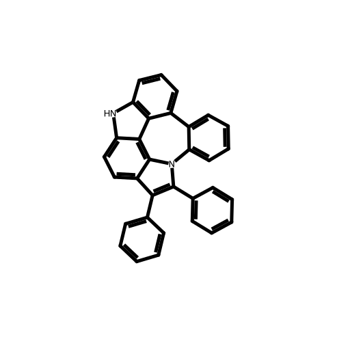 c1ccc(-c2c(-c3ccccc3)n3c4ccccc4c4cccc5[nH]c6ccc2c3c6c54)cc1